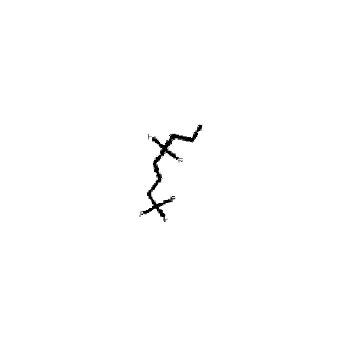 [CH2]CCC(F)(F)CCCC(F)(F)F